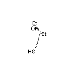 CCC(CO)CCCCCC(CC)CCCCCCCCCCO